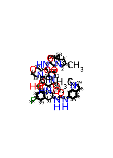 C[C@H]1CN(C(=O)[C@H](C)NC(=O)[C@@H]2COCCN2C(=O)[C@@H]2CCCN2C(=O)[C@@H](NC(=O)[C@H](Cc2cc(F)cc(F)c2)NC(=O)Nc2ccc3ccn(C)c3c2)[C@H](C)O)C2(CC2=O)C1